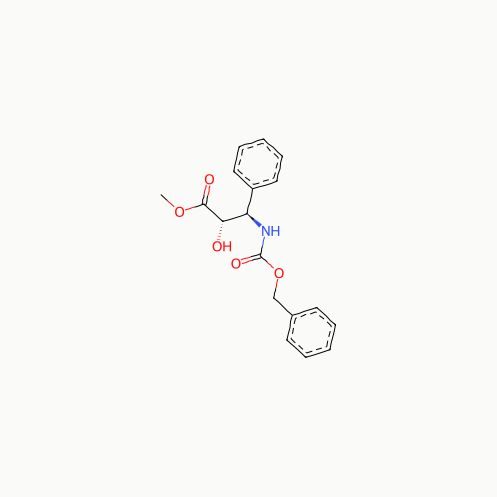 COC(=O)[C@@H](O)[C@H](NC(=O)OCc1ccccc1)c1ccccc1